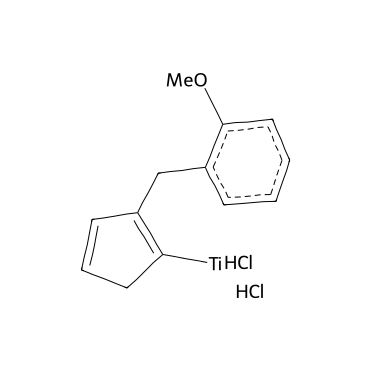 COc1ccccc1CC1=[C]([Ti])CC=C1.Cl.Cl